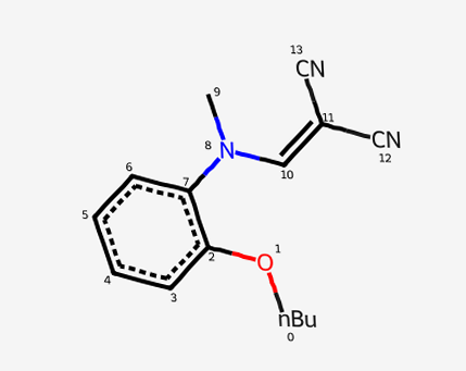 CCCCOc1ccccc1N(C)C=C(C#N)C#N